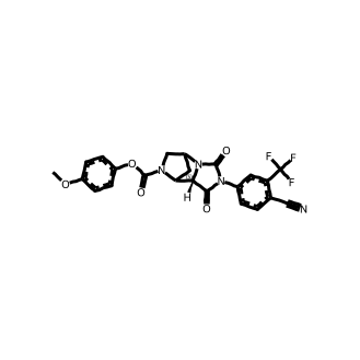 COc1ccc(OC(=O)N2CC3CC2[C@H]2C(=O)N(c4ccc(C#N)c(C(F)(F)F)c4)C(=O)N32)cc1